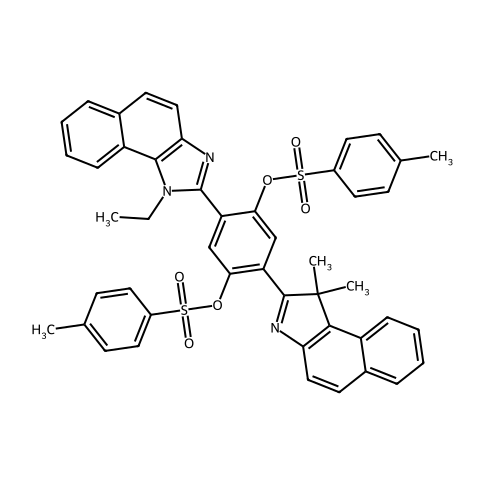 CCn1c(-c2cc(OS(=O)(=O)c3ccc(C)cc3)c(C3=Nc4ccc5ccccc5c4C3(C)C)cc2OS(=O)(=O)c2ccc(C)cc2)nc2ccc3ccccc3c21